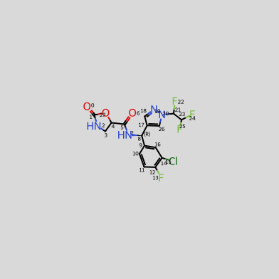 O=C1NCC(C(=O)N[C@H](c2ccc(F)c(Cl)c2)c2cnn(C(F)C(F)F)c2)O1